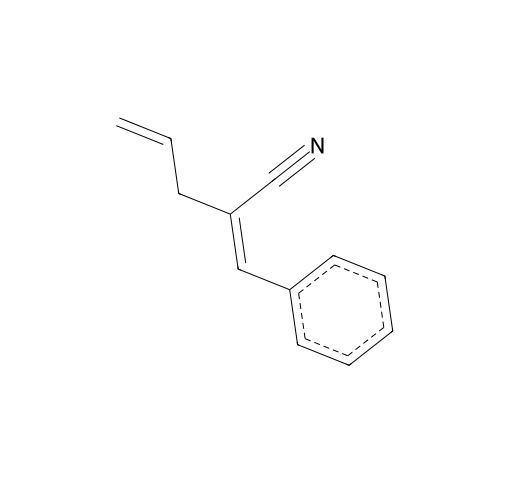 C=CCC(C#N)=Cc1ccccc1